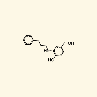 OCc1ccc(O)c(NCCCc2ccccc2)c1